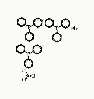 [Cl][Ru]([Cl])[Cl].[Rh].c1ccc(P(c2ccccc2)c2ccccc2)cc1.c1ccc(P(c2ccccc2)c2ccccc2)cc1.c1ccc(P(c2ccccc2)c2ccccc2)cc1